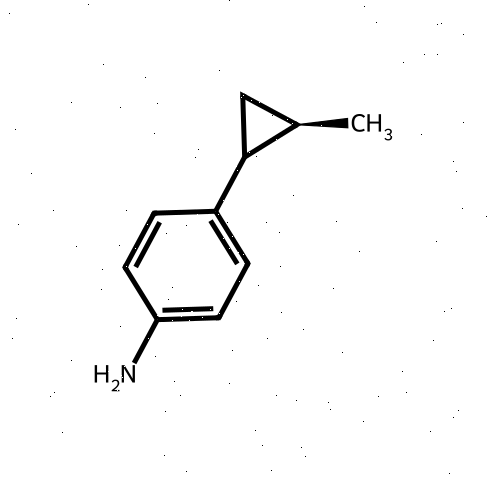 C[C@@H]1CC1c1ccc(N)cc1